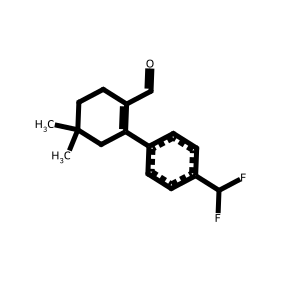 CC1(C)CCC(C=O)=C(c2ccc(C(F)F)cc2)C1